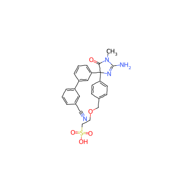 CN1C(=O)C(c2ccc(COCCS(=O)(=O)O)cc2)(c2cccc(-c3cccc(C#N)c3)c2)N=C1N